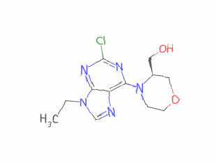 CCn1cnc2c(N3CCOC[C@@H]3CO)nc(Cl)nc21